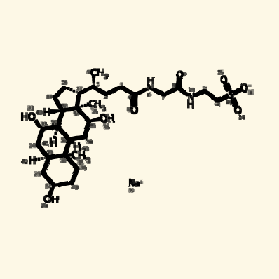 C[C@H](CCC(=O)NCC(=O)NCCS(=O)(=O)[O-])[C@H]1CC[C@H]2[C@@H]3[C@H](O)C[C@@H]4C[C@H](O)CC[C@]4(C)[C@H]3C[C@H](O)[C@]12C.[Na+]